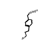 CCCCCCCCc1ccc(CCCBr)cc1